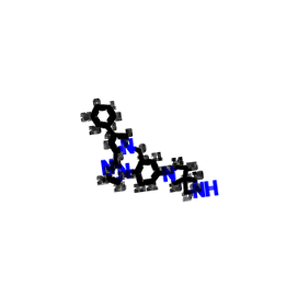 c1ccc(-c2cc3n(c2)Cc2cc(N4CCC5(CNC5)C4)ccc2-n2ccnc2-3)cc1